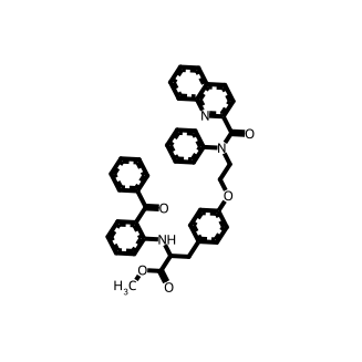 COC(=O)C(Cc1ccc(OCCN(C(=O)c2ccc3ccccc3n2)c2ccccc2)cc1)Nc1ccccc1C(=O)c1ccccc1